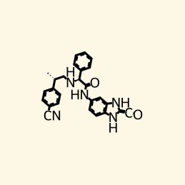 C[C@H](CN[C@H](C(=O)Nc1ccc2c(c1)NC(=C=O)N2)c1ccccc1)c1ccc(C#N)cc1